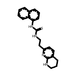 S=C(NCCc1ccc2c(n1)NCCC2)Nc1cccc2ccccc12